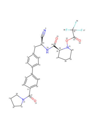 N#C[C@H](Cc1ccc(-c2ccc(C(=O)N3CCCC3)cc2)cc1)NC(=O)[C@@H]1CCCCN1OC(=O)C(F)(F)F